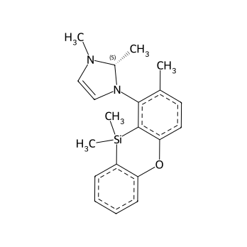 Cc1ccc2c(c1N1C=CN(C)[C@@H]1C)[Si](C)(C)c1ccccc1O2